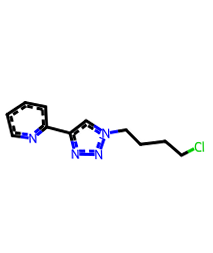 ClCCCCn1cc(-c2ccccn2)nn1